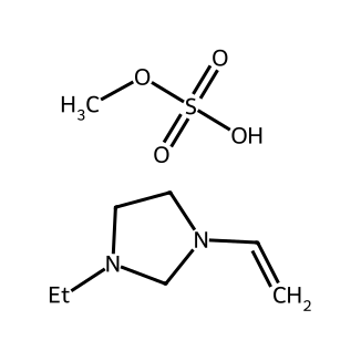 C=CN1CCN(CC)C1.COS(=O)(=O)O